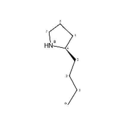 CCCC[C@@H]1CCCN1